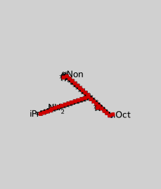 CCCCCCCC/C=C\CCCCCCCC(CCCCCCCC(CCCCCC=CCC=CCCCCCCCCCCCC(N)CCCCCCCC(C)C)CCCCCCCCC=CCCCCCCCC(CCCCCCCCC)N(C)C)N(C)C